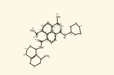 CC1CCCC2=C1C(NC(=O)c1ccc(C(=O)NC3CCCCC3)c3c(C(=O)O)ccc(C(=O)O)c13)CCC2